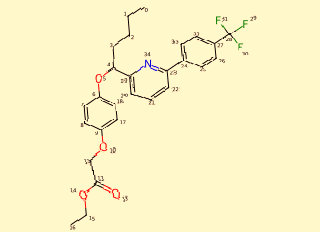 CCCCC(Oc1ccc(OCC(=O)OCC)cc1)c1cccc(-c2ccc(C(F)(F)F)cc2)n1